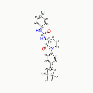 CC1(C)CB(c2ccc(N3CCC[C@@H](NC(=O)Nc4ccc(Cl)cc4)C3=O)cc2)CC1(C)C